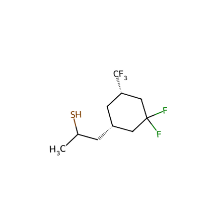 CC(S)C[C@@H]1C[C@H](C(F)(F)F)CC(F)(F)C1